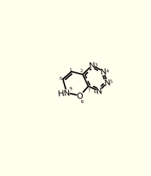 C1=Cc2nnnnc2ON1